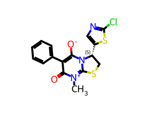 C[n+]1c2n(c([O-])c(-c3ccccc3)c1=O)[C@H](c1cnc(Cl)s1)CS2